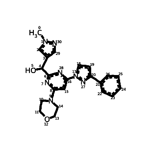 Cn1cc(C(O)c2nc(N3CCOCC3)cc(-n3ccc(-c4ccccc4)n3)n2)cn1